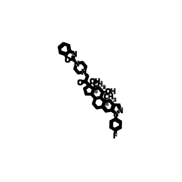 C[C@]12Cc3cnn(-c4ccc(F)cc4)c3C=C1CCC1C2[C@@H](O)C[C@@]2(C)C1CC[C@]2(O)C(=O)CN1CCN(c2nc3ccccc3o2)CC1